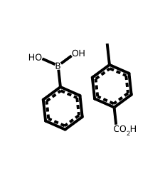 Cc1ccc(C(=O)O)cc1.OB(O)c1ccccc1